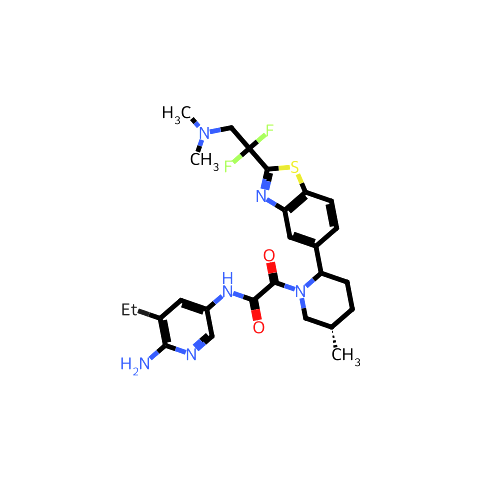 CCc1cc(NC(=O)C(=O)N2C[C@@H](C)CCC2c2ccc3sc(C(F)(F)CN(C)C)nc3c2)cnc1N